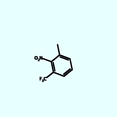 Cc1cccc(C(F)(F)F)c1[N+](=O)[O-]